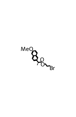 COc1ccc2cc([C@H](C)C(=O)OCCCBr)ccc2c1